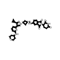 O=C1CCC(N2C(=O)c3ccc(NC[C@H]4C[C@@H](n5cc(-c6cccc(NC7CCOCC7)n6)c(C6CC6)n5)C4)cc3C2=O)C(=O)N1